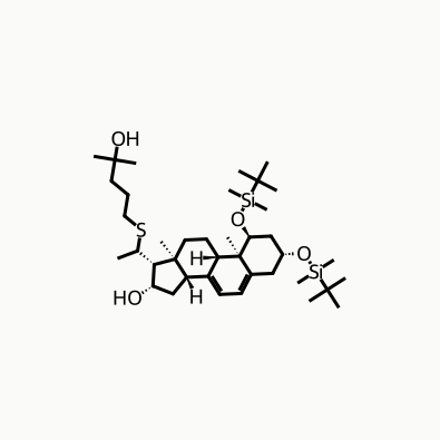 CC(SCCCC(C)(C)O)[C@H]1[C@@H](O)C[C@H]2C3=CC=C4C[C@@H](O[Si](C)(C)C(C)(C)C)C[C@H](O[Si](C)(C)C(C)(C)C)[C@]4(C)[C@H]3CC[C@@]21C